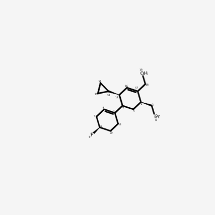 CC(C)C[C@H]1CC(C2=CC[C@H](F)CC2)[C@@H](C2CC2)C=C1CO